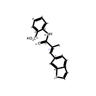 C/C(=C\c1ccc2ccsc2c1)C(=O)Nc1ccccc1C(=O)O